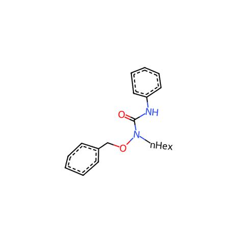 CCCCCCN(OCc1ccccc1)C(=O)Nc1ccccc1